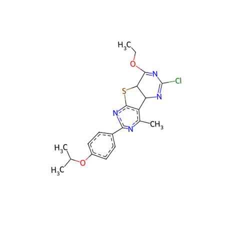 CCOC1=NC(Cl)=NC2c3c(C)nc(-c4ccc(OC(C)C)cc4)nc3SC12